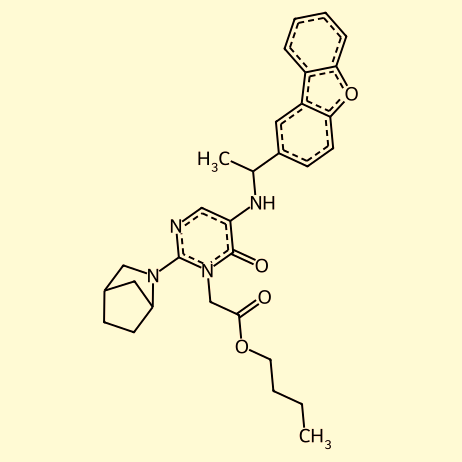 CCCCOC(=O)Cn1c(N2CC3CCC2C3)ncc(NC(C)c2ccc3oc4ccccc4c3c2)c1=O